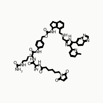 Cc1cccc(-c2nc(CNCc3cccc4c3C(NC(=O)OCc3ccc(NC(=O)[C@H](CCCNC(N)=O)NC(=O)C(NC(=O)CCCCCN5C(=O)C=CC5=O)C(C)C)cc3)CC4)[nH]c2-c2ccc3ncnn3c2)n1